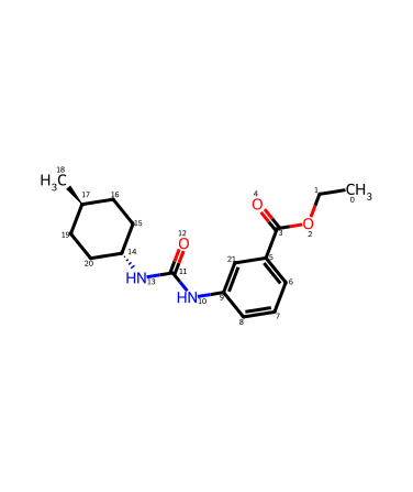 CCOC(=O)c1cccc(NC(=O)N[C@H]2CC[C@H](C)CC2)c1